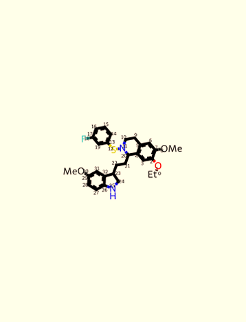 CCOc1cc2c(cc1OC)CCN(Sc1cccc(F)c1)C2CCC1CNc2ccc(OC)cc21